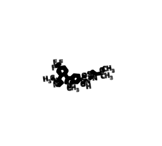 CO[C@@H](C)c1csc(NS(=O)(=O)c2ccc3c(-c4ccc(C(F)(F)F)cc4-c4ccnn4C)cn(C)c3c2)n1